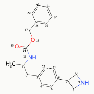 CC(Cc1ccc(C2CNC2)cc1)NC(=O)OCc1ccccc1